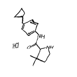 CC1(C)CCNC1C(=O)Nc1ccc(C2CC2)cc1.Cl